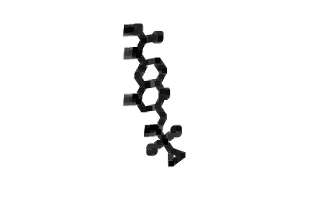 O=C(O)Nc1ccc2c(c1)NCC(CNS(=O)(=O)C1CC1)O2